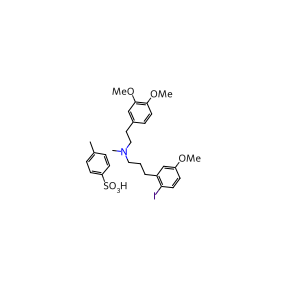 COc1ccc(I)c(CCCN(C)CCc2ccc(OC)c(OC)c2)c1.Cc1ccc(S(=O)(=O)O)cc1